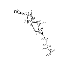 CCCCCCCCCCc1cnc(-c2ccc(OCCCCCC3CC3)cc2)nc1